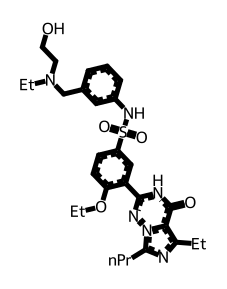 CCCc1nc(CC)c2c(=O)[nH]c(-c3cc(S(=O)(=O)Nc4cccc(CN(CC)CCO)c4)ccc3OCC)nn12